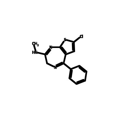 CNC1=Nc2sc(Cl)cc2C(c2ccccc2)=NC1